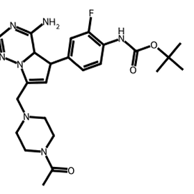 CC(=O)N1CCN(CC2=CC(c3ccc(NC(=O)OC(C)(C)C)c(F)c3)C3C(N)=NC=NN23)CC1